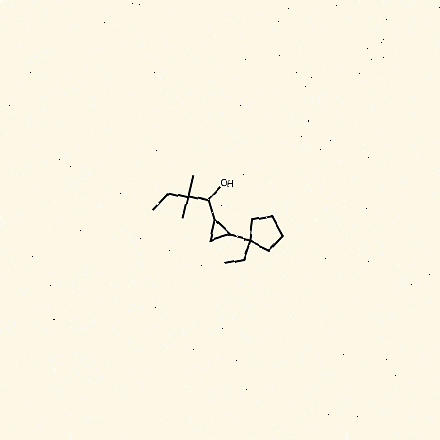 CCC(C)(C)C(O)C1CC1C1(CC)CCCC1